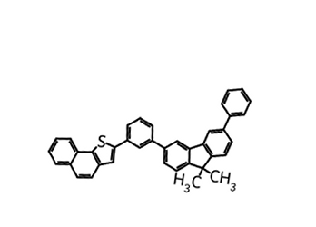 CC1(C)c2ccc(-c3ccccc3)cc2-c2cc(-c3cccc(-c4cc5ccc6ccccc6c5s4)c3)ccc21